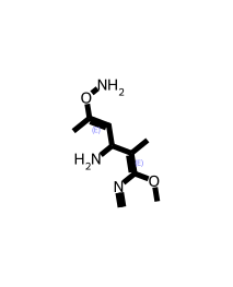 C=N/C(OC)=C(/C)C(N)/C=C(\C)ON